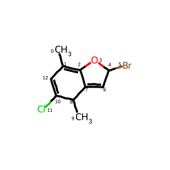 CC1=C2OC(Br)C=C2C(C)C(Cl)=C1